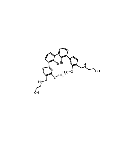 COc1nc(-c2cccc(-c3cccc(-c4ccc(CNCCO)c(OC)n4)c3Br)c2Br)ccc1CNCCO